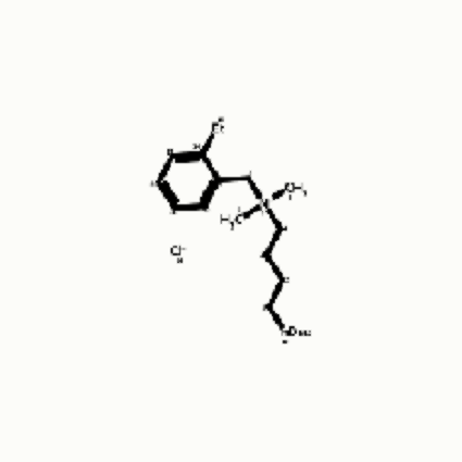 CCCCCCCCCCCCCC[N+](C)(C)Cc1ccccc1CC.[Cl-]